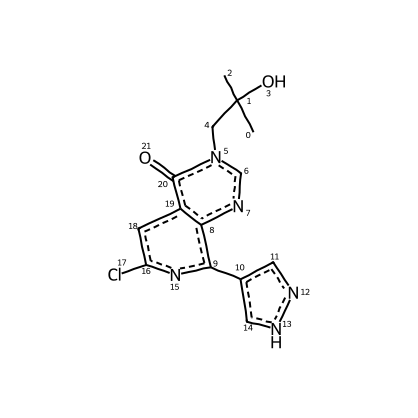 CC(C)(O)Cn1cnc2c(-c3cn[nH]c3)nc(Cl)cc2c1=O